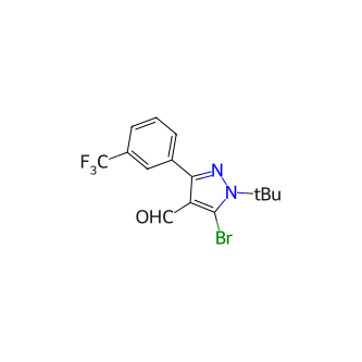 CC(C)(C)n1nc(-c2cccc(C(F)(F)F)c2)c(C=O)c1Br